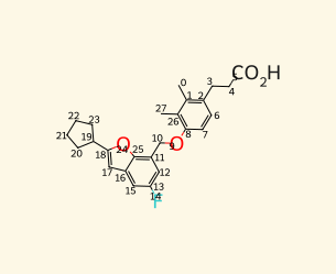 Cc1c(CCC(=O)O)ccc(OCc2cc(F)cc3cc(C4CCCC4)oc23)c1C